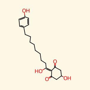 O=C1CC(O)CC(=O)C1=C(O)CCCCCCCCc1ccc(O)cc1